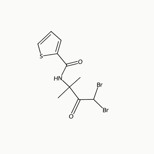 CC(C)(NC(=O)c1cccs1)C(=O)C(Br)Br